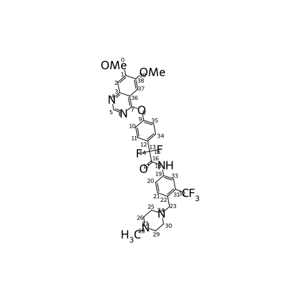 COc1cc2ncnc(Oc3ccc(C(F)(F)C(=O)Nc4ccc(CN5CCN(C)CC5)c(C(F)(F)F)c4)cc3)c2cc1OC